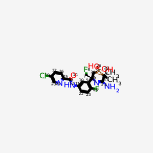 CC1(C)C(N)=N[C@](CF)(c2cc(NC(=O)c3ccc(Cl)cn3)ccc2F)CS1(O)O